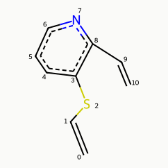 C=CSc1cccnc1C=C